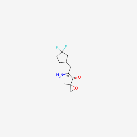 CC1(C(=O)[C@@H](N)CC2CCC(F)(F)C2)CO1